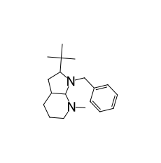 CN1CCCC2CC(C(C)(C)C)N(Cc3ccccc3)C21